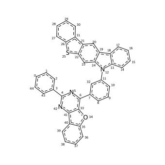 c1ccc(-c2nc(-c3cccc(-n4c5ccccc5c5cc6c(cc54)sc4ccccc46)c3)c3oc4ccccc4c3n2)cc1